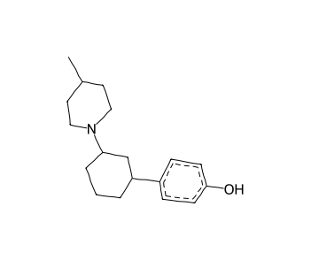 CC1CCN(C2CCCC(c3ccc(O)cc3)C2)CC1